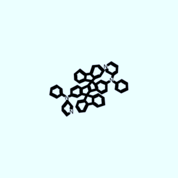 c1ccc(N(c2cccnc2)c2ccc3c(c2)C2(C4=C3C3(c5cc(N(c6ccccc6)c6cccnc6)ccc54)c4ccccc4-c4ccccc43)c3ccccc3-c3ccccc32)cc1